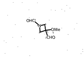 COC1(C=O)CN(C=O)C1